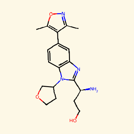 Cc1noc(C)c1-c1ccc2c(c1)nc([C@@H](N)CCO)n2C1CCOC1